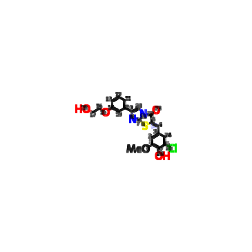 COc1cc(/C=c2\sc3nc(-c4cccc(OCCO)c4)cn3c2=O)cc(Cl)c1O